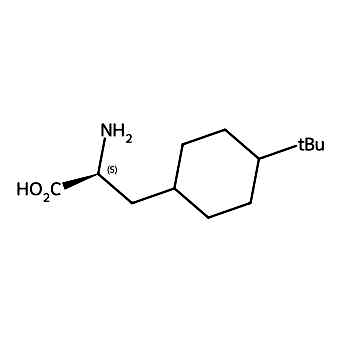 CC(C)(C)C1CCC(C[C@H](N)C(=O)O)CC1